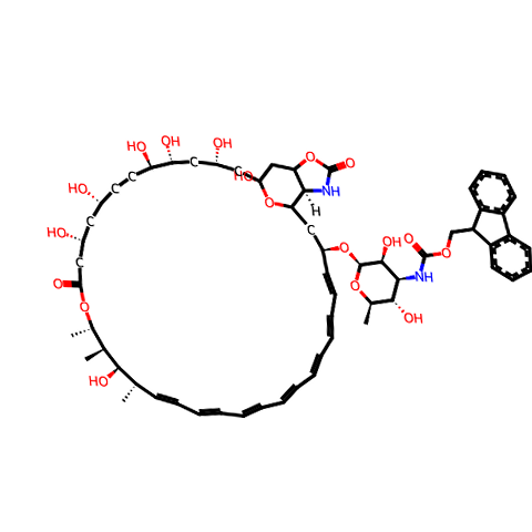 C[C@@H]1[C@H](O)[C@@H](C)/C=C/C=C/C=C/C=C/C=C/C=C/C=C/[C@H](O[C@@H]2O[C@H](C)[C@@H](O)[C@H](NC(=O)OCC3c4ccccc4-c4ccccc43)[C@@H]2O)CC2O[C@@](O)(CC3OC(=O)N[C@H]32)C[C@@H](O)C[C@@H](O)[C@H](O)CC[C@@H](O)C[C@@H](O)CC(=O)O[C@H]1C